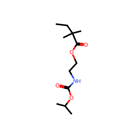 CCC(C)(C)C(=O)OCCNC(=O)OC(C)C